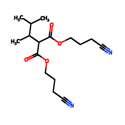 CC(C)C(C)C(C(=O)OCCCC#N)C(=O)OCCCC#N